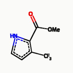 COC(=O)c1[nH]ccc1C(F)(F)F